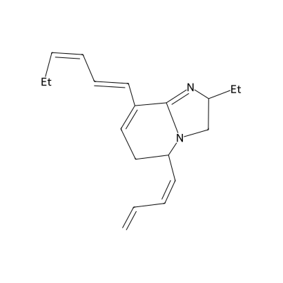 C=C/C=C\C1CC=C(/C=C/C=C\CC)C2=NC(CC)CN21